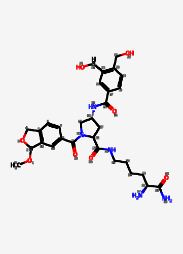 COB1OCc2ccc(C(=O)N3C[C@H](NC(=O)c4ccc(CO)c(BO)c4)CC3C(=O)NCCCC[C@H](N)C(N)=O)cc21